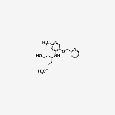 CCCC[C@@H](CCO)Nc1nc(C)ncc1OCc1ccccn1